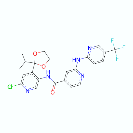 CC(C)C1(c2cc(Cl)ncc2NC(=O)c2ccnc(Nc3ccc(C(F)(F)F)cn3)c2)OCCO1